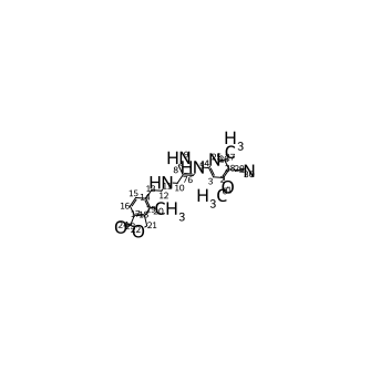 COc1cc(N/C=C(\C=N)CNCCc2ccc3c(c2C)COC3=O)nc(C)c1C#N